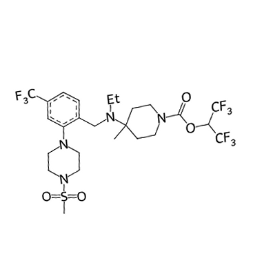 CCN(Cc1ccc(C(F)(F)F)cc1N1CCN(S(C)(=O)=O)CC1)C1(C)CCN(C(=O)OC(C(F)(F)F)C(F)(F)F)CC1